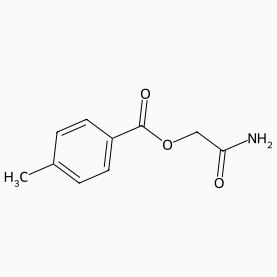 Cc1ccc(C(=O)OCC(N)=O)cc1